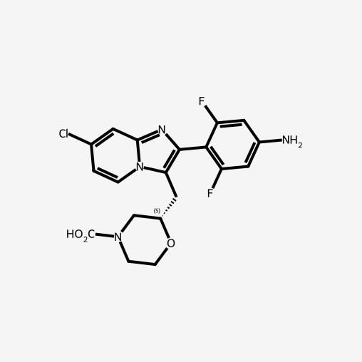 Nc1cc(F)c(-c2nc3cc(Cl)ccn3c2C[C@H]2CN(C(=O)O)CCO2)c(F)c1